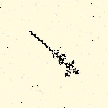 C#C[C@]1(CO[Si](C)(C)C(C)(C)C)O[C@@H](n2cnc3c(NC(=O)OCCCCCCCCCCCCCC)nc(F)nc32)C[C@@H]1O[Si](C)(C)C(C)(C)C